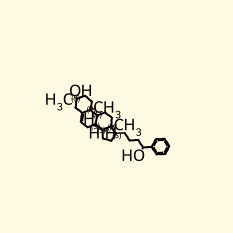 C[C@]1(O)CC[C@@]2(C)C(=CC[C@H]3[C@@H]4CC[C@H](CCCC(O)c5ccccc5)[C@@]4(C)CC[C@@H]32)C1